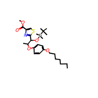 CCCCCCCOc1ccc(OC(C)C(O[Si](C)(C)C(C)(C)C)c2nc(C(=O)OC)cs2)cc1